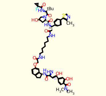 Cc1ncsc1-c1ccc([C@H](CC(=O)NCCCCCCCNC(=O)COc2ccc3c(c2)[C@H](NC(=O)C(=N)/C=C(\O)c2ccc(C(=O)N(C)C)c(O)c2)CC3)NC(=O)[C@@H]2C[C@@H](O)CN2C(=O)[C@@H](NC(=O)C2(F)CC2)C(C)(C)C)cc1